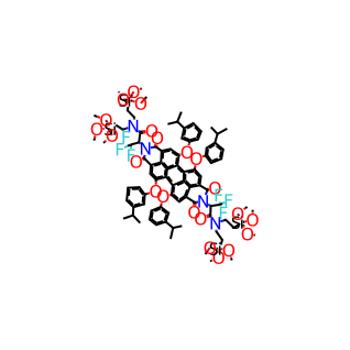 CO[Si](CCN(CC[Si](OC)(OC)OC)C(=O)C(N1C(=O)c2cc(Oc3cccc(C(C)C)c3)c3c4c(Oc5cccc(C(C)C)c5)cc5c6c(cc(Oc7cccc(C(C)C)c7)c(c7c(Oc8cccc(C(C)C)c8)cc(c2c37)C1=O)c64)C(=O)N(C(C(=O)N(CC[Si](OC)(OC)OC)CC[Si](OC)(OC)OC)C(F)(F)F)C5=O)C(F)(F)F)(OC)OC